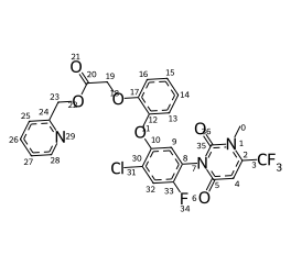 Cn1c(C(F)(F)F)cc(=O)n(-c2cc(Oc3ccccc3OCC(=O)OCc3ccccn3)c(Cl)cc2F)c1=O